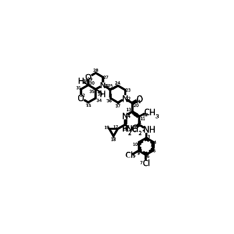 C=C(Nc1ccc(Cl)c(Cl)c1)/C(C)=C(\N=C(/N)C1CC1)C(=O)N1CCC(N2CCO[C@H]3COCC[C@H]32)CC1